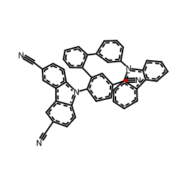 N#Cc1ccc(-n2c3ccc(C#N)cc3c3cc(C#N)ccc32)c(-c2ccccc2-c2cccc(-n3c4ccccc4c4ccccc43)c2)c1